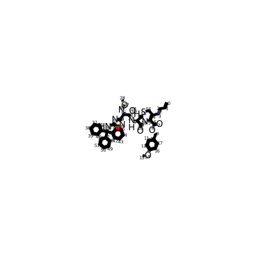 C=C/C=C/C1=C(C(=O)OCc2ccc(OC)cc2)N2C(=O)[C@@H](NC(=O)/C(=N\OC)c3nsc(NC(c4ccccc4)(c4ccccc4)c4ccccc4)n3)[C@@H]2SC1